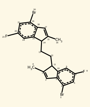 CC1=Cc2c(Br)cc(F)cc2C1CCC1C(C)=Cc2c(Br)cc(F)cc21